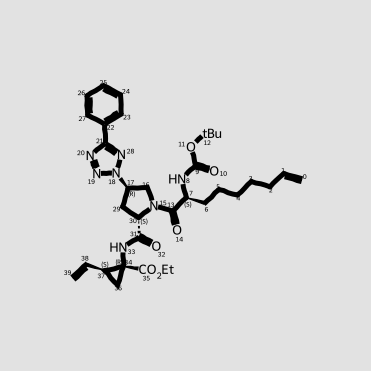 C=CCCCCC[C@H](NC(=O)OC(C)(C)C)C(=O)N1C[C@H](n2nnc(-c3ccccc3)n2)C[C@H]1C(=O)N[C@]1(C(=O)OCC)C[C@H]1C=C